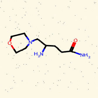 NC(=O)CCC(N)CN1CCOCC1